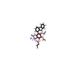 CC=CC(=O)Oc1c(CN)c(OCC)c(-c2cccc3c2Cc2ccccc2-3)c(OCC)c1OCC